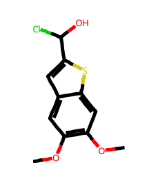 COc1cc2cc(C(O)Cl)sc2cc1OC